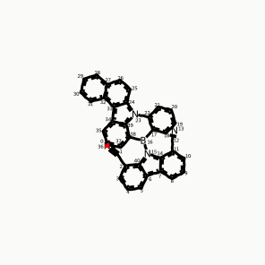 N#Cc1cccc2c3cccc(C#N)c3n(B3c4ccccc4-n4c5ccc6ccccc6c5c5cccc3c54)c12